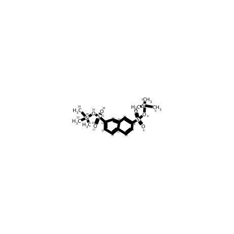 C[Si](C)(C)OS(=O)(=O)c1ccc2ccc(S(=O)(=O)O[Si](C)(C)C)cc2c1